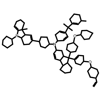 C=CC1CCC(OC2CC=C(C3(C4CCC(OC5CCCCC5)CC4)C4CC(N(C5C=CC(C(C)(C)C6=CC(C)CCC6)=CC5)C5CCC(C6=CC7C(CC6)N(C6CCCCC6)C6=CCCCC67C)CC5)C=CC4C4CCCCC43)CC2)CC1